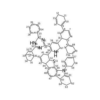 C1=CCCC(C2C=CC(C3=CCCC=C3)=CC2C2=CC(C3=NC(c4ccccc4)NC(C4=CC5CCC4C5)=N3)=C(C3CC=CC4c5ccc6c(c5SC34)N(C3=CC=CCC3)C3=CCCCC36)NC2)=C1